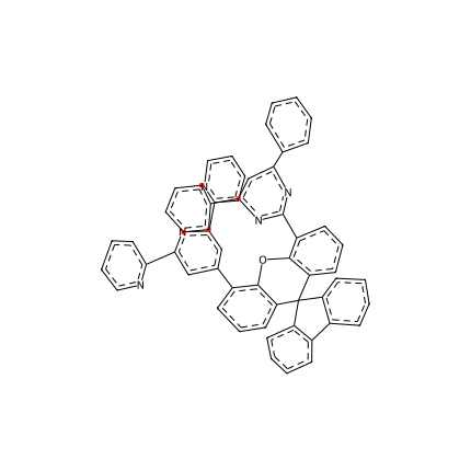 c1ccc(-c2cc(-c3ccccc3)nc(-c3cccc4c3Oc3c(-c5cc(-c6ccccn6)nc(-c6ccccn6)c5)cccc3C43c4ccccc4-c4ccccc43)n2)cc1